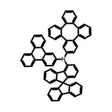 c1ccc2c(c1)-c1ccccc1-c1ccc(N(c3ccc4c5ccccc5c5ccccc5c4c3)c3cccc4c3-c3ccccc3C43c4ccccc4-c4ccccc43)cc1-c1ccccc1-2